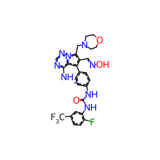 Nc1ncnn2c(CN3CCOCC3)c(C=NO)c(-c3ccc(NC(=O)Nc4cc(C(F)(F)F)ccc4F)cc3)c12